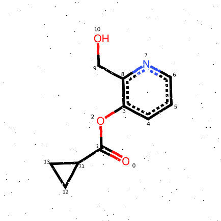 O=C(Oc1cccnc1CO)C1CC1